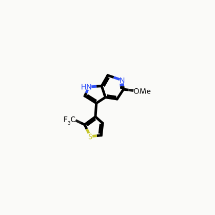 COc1cc2c(-c3ccsc3C(F)(F)F)c[nH]c2cn1